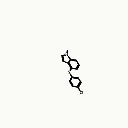 Cn1ccc2c(Sc3ccc(Cl)cc3)cccc21